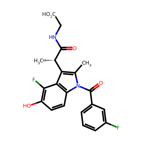 Cc1c([C@H](C)C(=O)NCC(=O)O)c2c(F)c(O)ccc2n1C(=O)c1cccc(F)c1